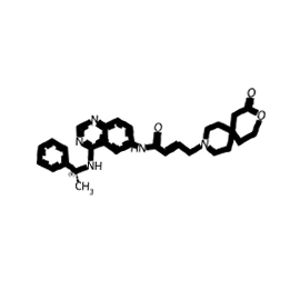 C[C@@H](Nc1ncnc2ccc(NC(=O)C=CCN3CCC4(CCOC(=O)C4)CC3)cc12)c1ccccc1